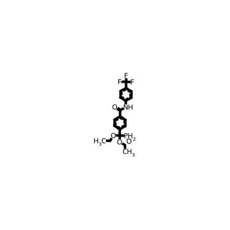 CCOC(OCC)([PH2]=O)c1ccc(C(=O)Nc2ccc(C(F)(F)F)cc2)cc1